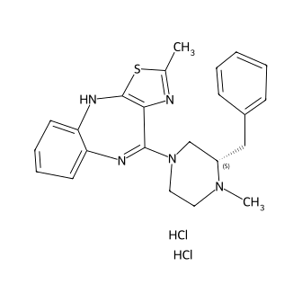 Cc1nc2c(s1)Nc1ccccc1N=C2N1CCN(C)[C@@H](Cc2ccccc2)C1.Cl.Cl